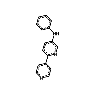 c1ccc(Nc2ccc(-c3ccncc3)nc2)cc1